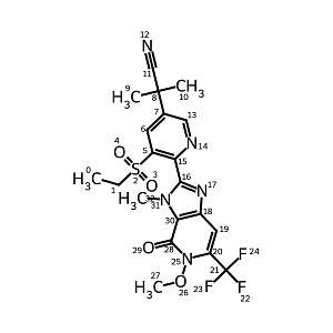 CCS(=O)(=O)c1cc(C(C)(C)C#N)cnc1-c1nc2cc(C(F)(F)F)n(OC)c(=O)c2n1C